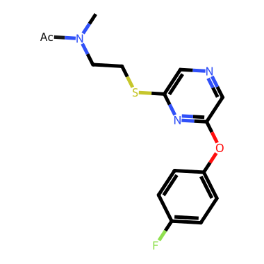 CC(=O)N(C)CCSc1cncc(Oc2ccc(F)cc2)n1